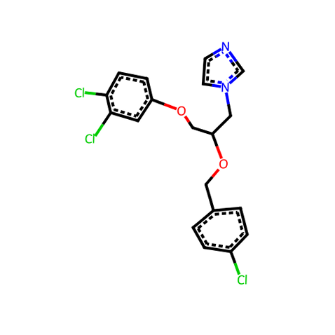 Clc1ccc(COC(COc2ccc(Cl)c(Cl)c2)Cn2ccnc2)cc1